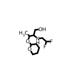 CC(OC1CCCCO1)C(CO)NCC(F)F